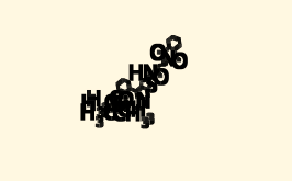 CC(C)(C)[Si](C)(C)Oc1ccccc1-c1cncc2sc(NC(=O)CCN3C(=O)c4ccccc4C3=O)cc12